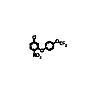 O=[N+]([O-])c1ccc(Cl)cc1Oc1ccc(OC(F)(F)F)cc1